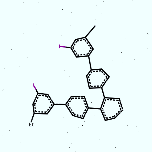 CCc1cc(I)cc(-c2ccc(-c3ccccc3-c3ccc(-c4cc(C)cc(I)c4)cc3)cc2)c1